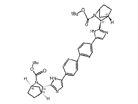 CC(C)(C)OC(=O)N1C2CC[C@@H](C2)[C@H]1c1ncc(-c2ccc(-c3ccc(-c4cnc([C@@H]5[C@H]6CC[C@H](C6)N5C(=O)OC(C)(C)C)[nH]4)cc3)cc2)[nH]1